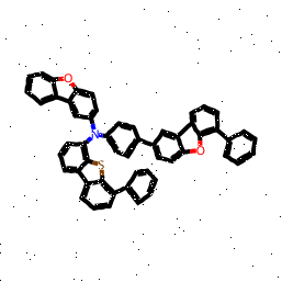 c1ccc(-c2cccc3c2oc2ccc(-c4ccc(N(c5ccc6oc7ccccc7c6c5)c5cccc6c5sc5c(-c7ccccc7)cccc56)cc4)cc23)cc1